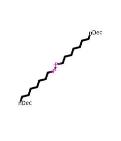 CCCCCCCCCCCCCCCCC[P][P]CCCCCCCCCCCCCCCCC